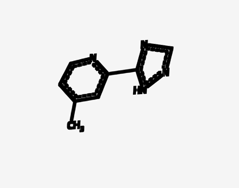 Cc1ccnc(-c2ncn[nH]2)c1